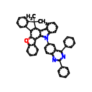 CC1(C)c2ccccc2-c2c1c1c3ccccc3n(-c3ccc4nc(-c5ccccc5)nc(-c5ccccc5)c4c3)c1c1c2oc2ccccc21